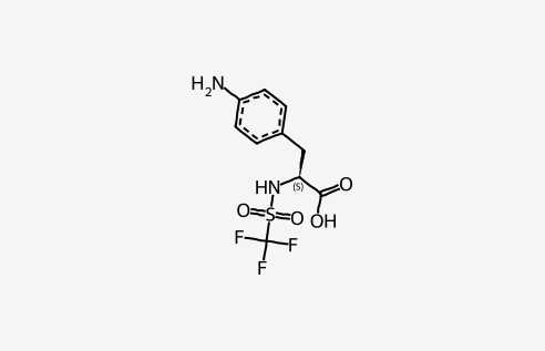 Nc1ccc(C[C@H](NS(=O)(=O)C(F)(F)F)C(=O)O)cc1